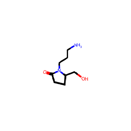 NCCCN1C(=O)CCC1CO